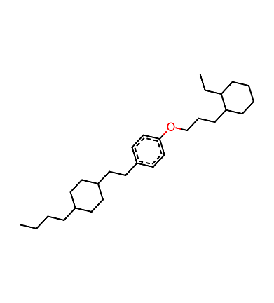 CCCCC1CCC(CCc2ccc(OCCCC3CCCCC3CC)cc2)CC1